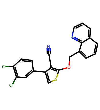 N#Cc1c(-c2ccc(Cl)c(Cl)c2)csc1OCc1cccc2cccnc12